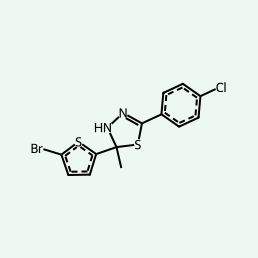 CC1(c2ccc(Br)s2)NN=C(c2ccc(Cl)cc2)S1